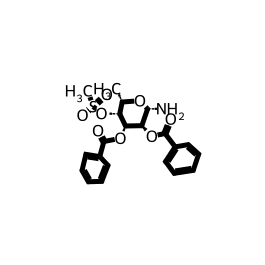 C[C@@H]1O[C@H](N)[C@@H](OC(=O)c2ccccc2)[C@H](OC(=O)c2ccccc2)[C@@H]1OS(C)(=O)=O